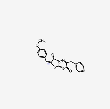 COc1ccc(/C=c2/sc3nc(=O)c(Cc4ccccc4)nn3c2=O)cc1